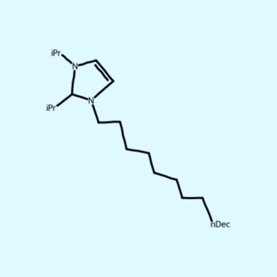 CCCCCCCCCCCCCCCCCCN1C=CN(C(C)C)C1C(C)C